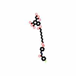 O=C1CC(C2CC3C(=O)OC(=O)C3c3cc(OC(=O)CCCCCCCCCOOc4ccc(/C=C/C(=O)c5ccc(F)cc5)cc4)ccc32)C(=O)O1